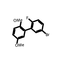 COc1ccc(OC)c(-c2cc(Br)ccc2F)c1